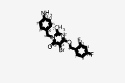 Cc1nc(OCc2ccc(F)cc2F)c(Br)c(=O)n1Cc1ccc(N)cc1